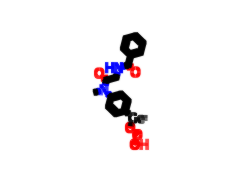 CN(C(=O)CNC(=O)c1ccccc1)c1cc[c]([Ge][O]OO)cc1